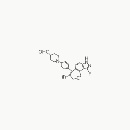 CC(C)C1=C(c2ccc(N3CCC(C=O)CC3)cc2)c2ccc3[nH]nc(F)c3c2CCC1